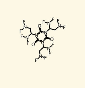 O=c1n(C(CN(F)F)N(F)F)c(=O)n(C(CN(F)F)N(F)F)c(=O)n1C(CN(F)F)N(F)F